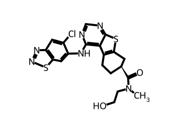 CN(CCO)C(=O)[C@H]1CCc2c(sc3ncnc(Nc4cc5snnc5cc4Cl)c23)C1